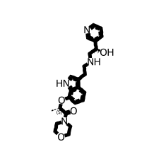 C[C@H](Oc1cccc2c(CCNC[C@H](O)c3cccnc3)c[nH]c12)C(=O)N1CCOCC1